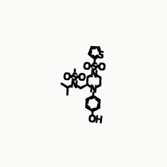 CC(C)N(C[C@H]1CN(S(=O)(=O)c2cccs2)CCN1c1ccc(O)cc1)S(C)(=O)=O